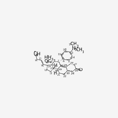 CN(C)c1ccc([C@H]2C[C@@]3(C)[C@@H](CC[C@@]3(O)C=CCO)[C@@H]3CCC4=CC(=O)CCC4=C32)cc1